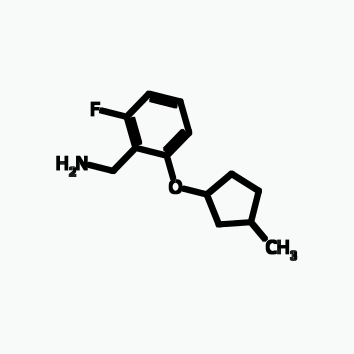 CC1CCC(Oc2cccc(F)c2CN)C1